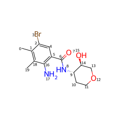 Cc1c(Br)cc(C(=O)N[C@H]2CCOC[C@@H]2O)c(N)c1C